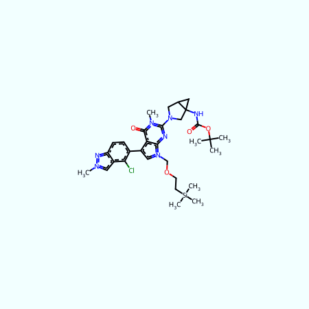 Cn1cc2c(Cl)c(-c3cn(COCC[Si](C)(C)C)c4nc(N5CC6CC6(NC(=O)OC(C)(C)C)C5)n(C)c(=O)c34)ccc2n1